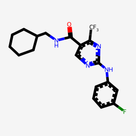 O=C(NCC1CCCCC1)c1cnc(Nc2cccc(F)c2)nc1C(F)(F)F